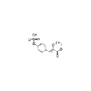 CO/C(=C\c1ccc(OS(=O)(=O)O)cc1)C([O])=O